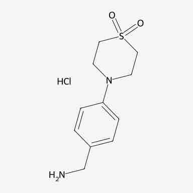 Cl.NCc1ccc(N2CCS(=O)(=O)CC2)cc1